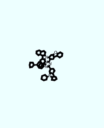 c1ccc(-c2ccc(-c3nc(-c4ccc5c6ccccc6n(-c6ccccc6)c5c4)nc(-c4cc5c(cc4-n4c6cc7ccccc7cc6c6c7ccccc7ccc64)oc4ccccc45)n3)cc2)cc1